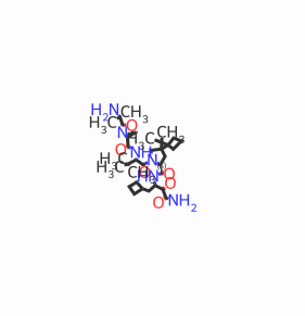 CC(C)(N)c1nc(C(=O)NC(C(=O)N2CC3(C[C@H]2C(=O)NC(CC2CCC2)C(=O)C(N)=O)C(C)(C)C32CCC2)C(C)(C)C)co1